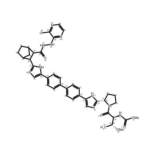 COC(=O)N[C@H](C(=O)N1CCC[C@H]1c1ncc(-c2ccc(-c3ccc(-c4cnc(C5C6CCC(C6)C5C(=O)NNc5nccnc5Cl)[nH]4)cc3)cc2)[nH]1)[C@@H](C)OC